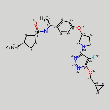 CC(=O)N[C@@H]1CC[C@H](C(=O)N[C@@H](C)c2ccc(OC3CCN(c4ncnc(OCC5CC5)c4F)C3)cc2)C1